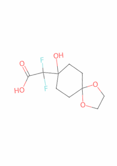 O=C(O)C(F)(F)C1(O)CCC2(CC1)OCCO2